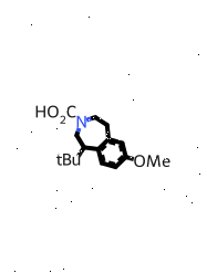 COc1ccc2c(c1)CCN(C(=O)O)CC2C(C)(C)C